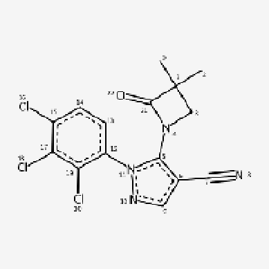 CC1(C)CN(c2c(C#N)cnn2-c2ccc(Cl)c(Cl)c2Cl)C1=O